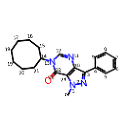 Cn1nc(-c2ccccc2)c2ncn(C3CCCCCCC3)c(=O)c21